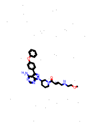 COCCNC/C=C/C(=O)N1CCCC(n2nc(-c3ccc(Oc4ccccc4)cc3)c3c(N)ncnc32)C1